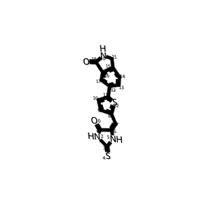 O=C1NC(=S)NC1=Cc1ccc(-c2ccc3c(c2)C(=O)NC3)s1